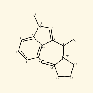 CC(c1cn(C)c2ccccc12)N1CCCC1=O